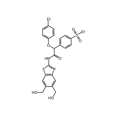 CCc1ccc(OC(C(=O)Nc2nc3cc(CO)c(CO)cc3s2)c2ccc(S(=O)(=O)CC)cc2)cc1